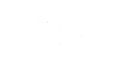 CO[C@H]1[CH]CCN(CCn2c(=O)cc(C)c3ccc(C#N)cc32)C1